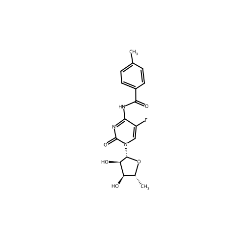 Cc1ccc(C(=O)Nc2nc(=O)n([C@@H]3O[C@H](C)[C@@H](O)[C@H]3O)cc2F)cc1